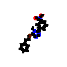 Cn1c(SCCc2ccccc2)nnc1-c1cccc([N+](=O)[O-])c1